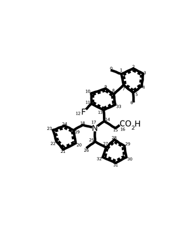 Cc1cccc(C)c1-c1ccc(F)c(C(CC(=O)O)N(Cc2ccccc2)C(C)c2ccccc2)c1